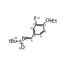 CCOc1ccc(C=N[S@@+]([O-])C(C)(C)C)cc1F